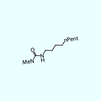 CCCCCCCCCNC(=O)NC